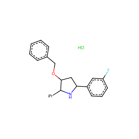 CC(C)C1NC(c2cccc(F)c2)CC1OCc1ccccc1.Cl